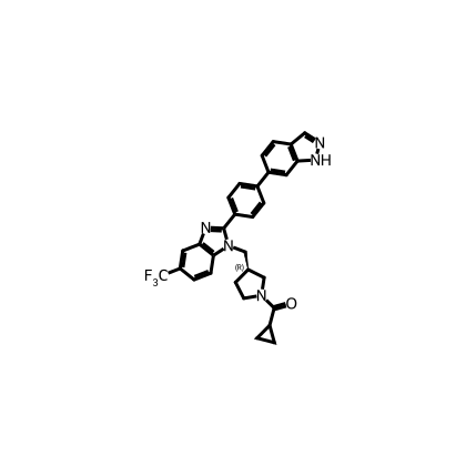 O=C(C1CC1)N1CC[C@@H](Cn2c(-c3ccc(-c4ccc5cn[nH]c5c4)cc3)nc3cc(C(F)(F)F)ccc32)C1